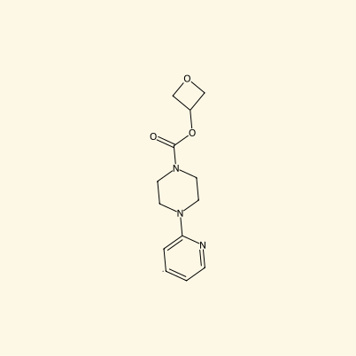 O=C(OC1COC1)N1CCN(c2c[c]ccn2)CC1